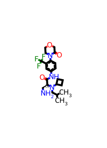 CC(C)CN(C1CCC1)[C@@H](CN)C(=O)Nc1ccc(N2CCOCC2=O)c(C(F)(F)F)c1